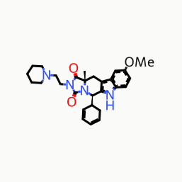 COc1ccc2[nH]c3c(c2c1)C[C@@]1(C)C(=O)N(CCN2CCCCC2)C(=O)N1[C@@H]3C1C=CC=CC1